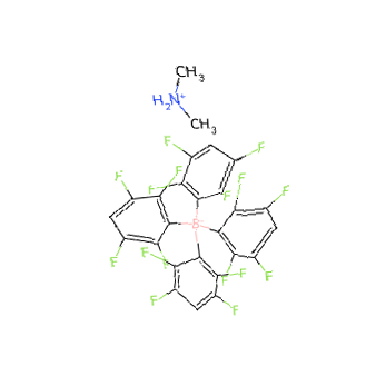 C[NH2+]C.Fc1cc(F)c(F)c([B-](c2c(F)c(F)cc(F)c2F)(c2c(F)c(F)cc(F)c2F)c2c(F)c(F)cc(F)c2F)c1F